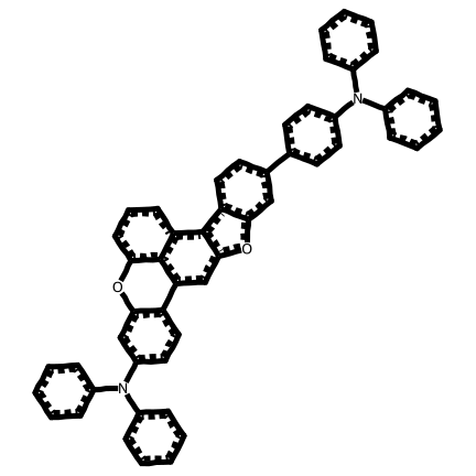 c1ccc(N(c2ccccc2)c2ccc(-c3ccc4c(c3)oc3cc5c6c(cccc6c34)Oc3cc(N(c4ccccc4)c4ccccc4)ccc3-5)cc2)cc1